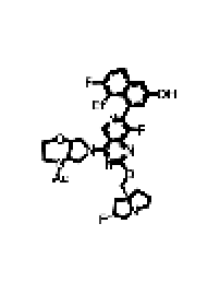 CCc1c(F)ccc2cc(O)cc(-c3ncc4c(N5CC6OCCN(C(C)=O)C6C5)nc(OC[C@@]56CCCN5C[C@H](F)C6)nc4c3F)c12